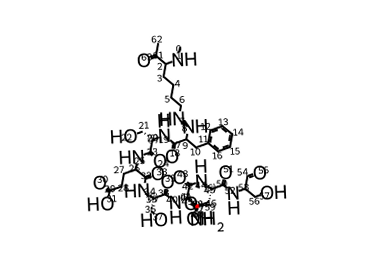 CNC(CCCCNNC(Cc1ccccc1)C(=O)N[C@@H](CO)C(=O)NC(CCC(=O)O)C(=O)N[C@@H](CO)C(=O)N[C@H](C(=O)N[C@@H](CC(N)=O)C(=O)NC(C=O)CO)[C@@H](C)O)C(C)=O